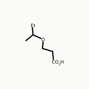 CCC(C)OCCC(=O)O